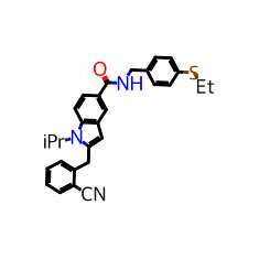 CCSc1ccc(CNC(=O)c2ccc3c(c2)cc(Cc2ccccc2C#N)n3C(C)C)cc1